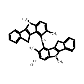 Cc1ccc2c(c3c(n2C)-c2ccccc2C3)[c]1[Zr+2][c]1c(C)ccc2c1c1c(n2C)-c2ccccc2C1.[Cl-].[Cl-]